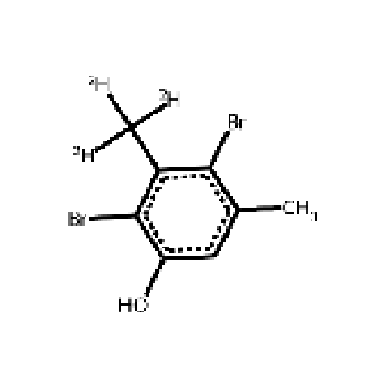 [2H]C([2H])([2H])c1c(Br)c(C)cc(O)c1Br